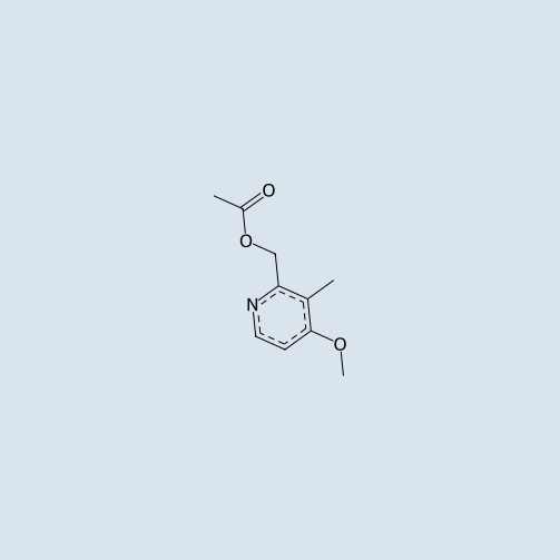 COc1ccnc(COC(C)=O)c1C